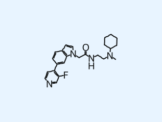 CN(CCNC(=O)Cn1ccc2ccc(-c3ccncc3F)cc21)C1CCCCC1